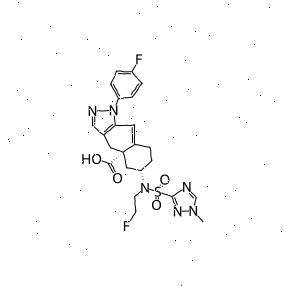 Cn1cnc(S(=O)(=O)N(CCF)[C@H]2CCC3=Cc4c(cnn4-c4ccc(F)cc4)C[C@]3(C(=O)O)C2)n1